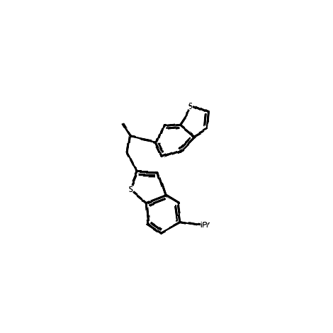 CC(C)c1ccc2sc(CC(C)c3ccc4ccsc4c3)cc2c1